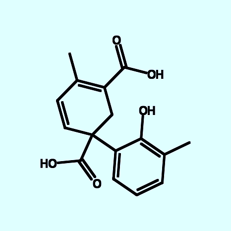 CC1=C(C(=O)O)CC(C(=O)O)(c2cccc(C)c2O)C=C1